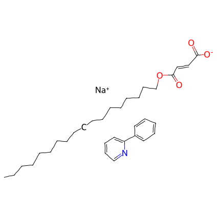 CCCCCCCCCCCCCCCCCCOC(=O)/C=C/C(=O)[O-].[Na+].c1ccc(-c2ccccn2)cc1